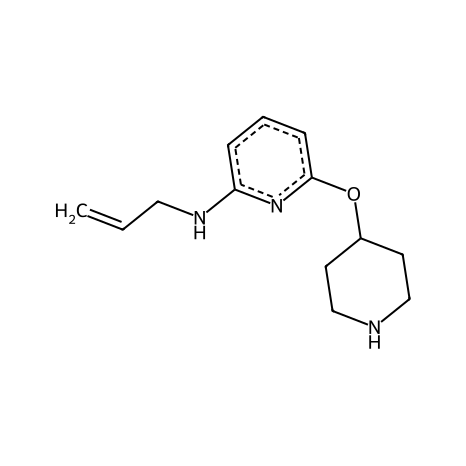 C=CCNc1cccc(OC2CCNCC2)n1